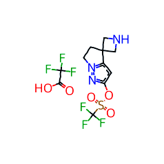 O=C(O)C(F)(F)F.O=S(=O)(Oc1cc2n(n1)CCC21CNC1)C(F)(F)F